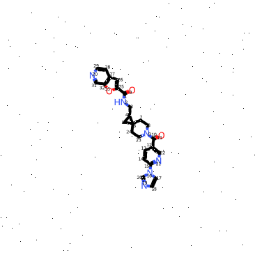 O=C(NCC1CC12CCN(C(=O)c1ccc(-n3ccnc3)nc1)CC2)c1cc2ccncc2o1